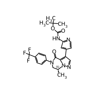 C[C@H]1CN(c2ccc(C(F)(F)F)cc2)C(=O)c2c(-c3ccnc(NC(=O)OC(C)(C)C)c3)cnn21